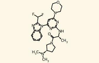 C[C@H](Nc1nc(N2CCOCC2)cc(-n2c(C(F)F)nc3ccccc32)n1)C(=O)N1CC[C@@H](N(C)C)C1